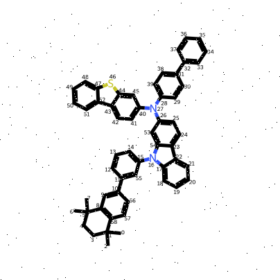 CC1(C)CCC(C)(C)c2cc(-c3cccc(-n4c5ccccc5c5ccc(N(c6ccc(-c7ccccc7)cc6)c6ccc7c(c6)sc6ccccc67)cc54)c3)ccc21